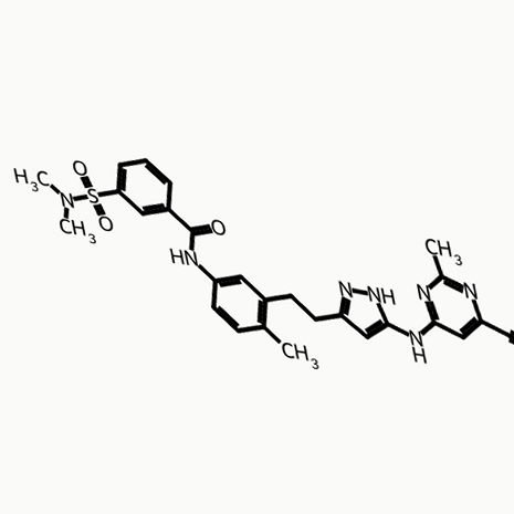 Cc1nc(C#N)cc(Nc2cc(CCc3cc(NC(=O)c4cccc(S(=O)(=O)N(C)C)c4)ccc3C)n[nH]2)n1